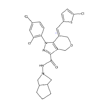 O=C(NN1CC2CCCC2C1)c1nn(-c2ccc(Cl)cc2Cl)c2c1COC/C2=C\c1ccc(Cl)s1